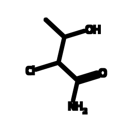 CC(O)C(Cl)C(N)=O